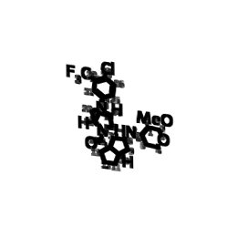 CO[C@@H]1COCC[C@@H]1N[C@@H]1C[C@H]2CCC[C@@]2(C(=O)N2C[C@@H]3C[C@H]2CN3c2ccc(Cl)c(C(F)(F)F)c2)C1